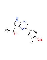 CC(=O)c1cc(-c2cnc3[nH]cc(C(=O)C(C)(C)C)c3n2)ccc1O